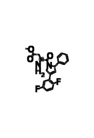 COC(=O)C[C@H](N)C(=O)N1CC(c2cc(F)ccc2F)=CC1c1ccccc1